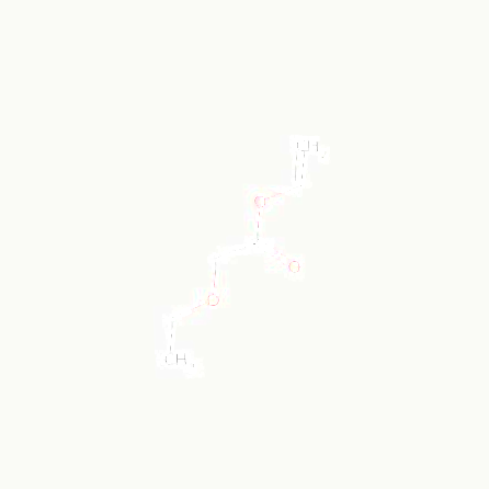 C=COC(=O)COCC